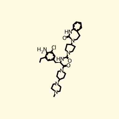 CCc1cc(C[C@@H](NC(=O)N2CCC(N3CCc4ccccc4NC3=O)CC2)C(=O)N2CCC(N3CCN(C)CC3)CC2)cc(Cl)c1N